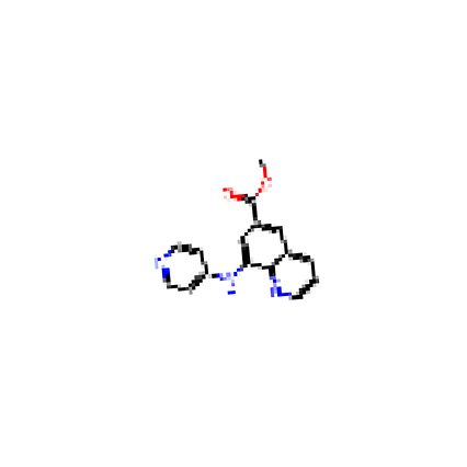 COC(=O)c1cc(Nc2ccncc2)c2ncccc2c1